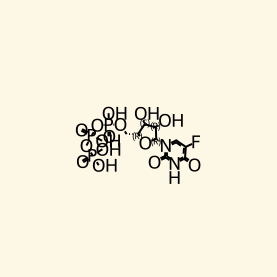 O=c1[nH]c(=O)n([C@@H]2O[C@H](COP(=O)(O)OP(=O)(O)OP(=O)(O)O)[C@@H](O)[C@H]2O)cc1F